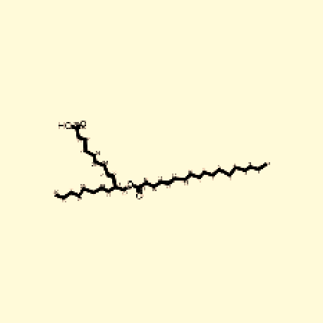 CCCCCCCCCCCCCCCCCC(=O)OCC(C=CCCCCCCC(=O)O)CCCCCCCC